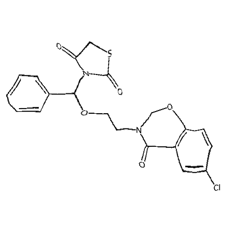 O=C1c2cc(Cl)ccc2OCN1CCOC(c1ccccc1)N1C(=O)CSC1=O